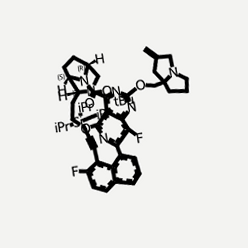 C=C1CN2CCCC2(COc2nc3c4c(nc(-c5cccc6ccc(F)c(C#C[Si](C(C)C)(C(C)C)C(C)C)c56)c(F)c4n2)OCC[C@@H]2[C@@H]4CC[C@H](CN32)N4C(=O)OC(C)(C)C)C1